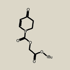 CC(C)(C)OC(=O)COC(=O)N1C=CC(=O)CC1